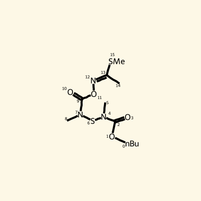 CCCCOC(=O)N(C)SN(C)C(=O)ON=C(C)SC